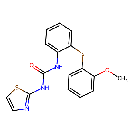 COc1ccccc1Sc1ccccc1NC(=O)Nc1nccs1